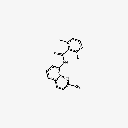 Cc1ccc2cccc(NC(=O)c3c(Cl)cccc3Cl)c2n1